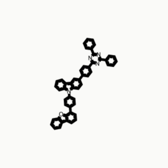 c1ccc(-c2nc(-c3ccccc3)nc(-c3ccc(-c4ccc5c(c4)c4ccccc4n5-c4ccc(-c5cccc6c5oc5ccccc56)cc4)cc3)n2)cc1